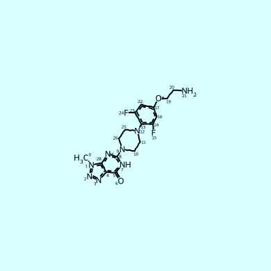 Cn1nnc2c(=O)[nH]c(N3CCN(c4c(F)cc(OCCN)cc4F)CC3)nc21